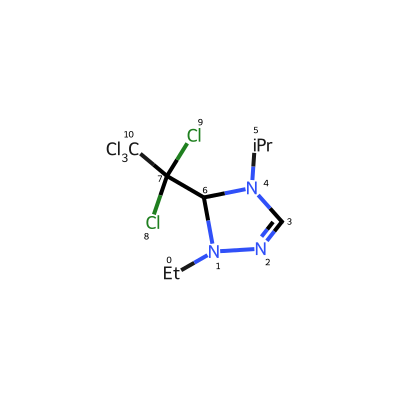 CCN1N=CN(C(C)C)C1C(Cl)(Cl)C(Cl)(Cl)Cl